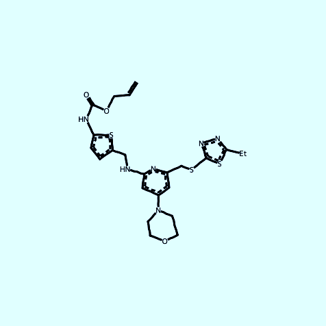 C=CCOC(=O)Nc1ccc(CNc2cc(N3CCOCC3)cc(CSc3nnc(CC)s3)n2)s1